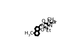 CCn1c(=O)n(Cc2ccc3c(C)cccc3c2)c(=O)c2c1nc(Br)n2C